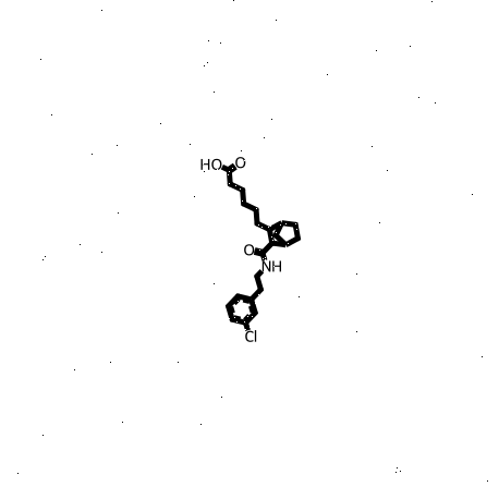 O=C(O)CCCCCC1C2CCC(C2)C1C(=O)NCCc1cccc(Cl)c1